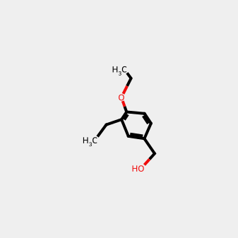 CCOc1ccc(CO)cc1CC